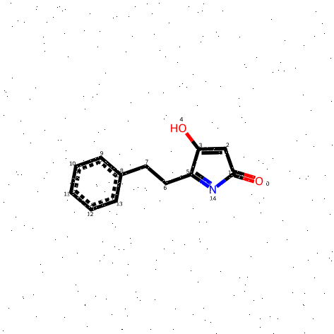 O=C1C=C(O)C(CCc2ccccc2)=N1